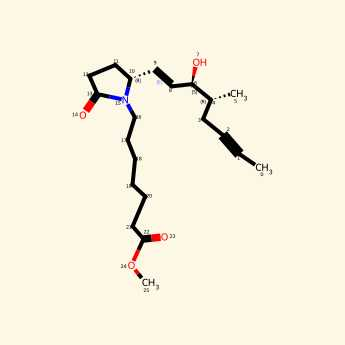 CC#CC[C@@H](C)[C@H](O)/C=C/[C@H]1CCC(=O)N1CCCCCCC(=O)OC